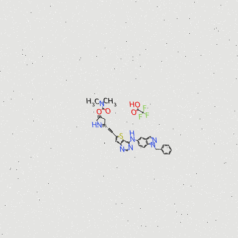 CN(C)C(=O)O[C@H]1CN[C@@H](C#Cc2cc3ncnc(Nc4ccc5c(cnn5Cc5ccccc5)c4)c3s2)C1.O=C(O)C(F)(F)F